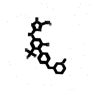 CN1CCCC(Cc2ccc(-c3c(Cl)cc(Nc4n[nH]c(N)n4)cc3C(F)(F)F)cc2)C1